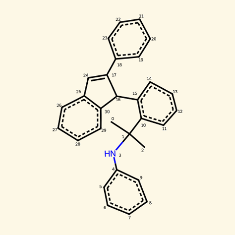 CC(C)(Nc1ccccc1)c1ccccc1C1C(c2ccccc2)=Cc2ccccc21